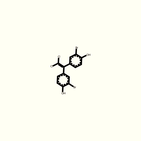 Oc1ccc(C(=C(Cl)Cl)c2ccc(O)c(Br)c2)cc1Br